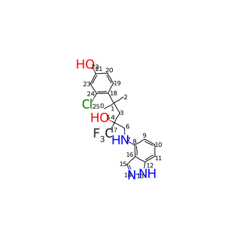 CC(C)(CC(O)(CNc1cccc2[nH]ncc12)C(F)(F)F)c1ccc(O)cc1Cl